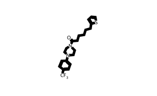 O=C(CCCCCc1cccs1)N1CCN(c2ccc(C(F)(F)F)cc2)CC1